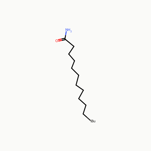 CCC(C)CCCCCCCCCCC(N)=O